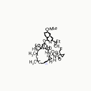 CCN(C)c1cc2cc(OC)ccc2c(O[C@@H]2C[C@H]3C(=O)N[C@]4(C(=O)NS(=O)(=O)C5(CF)CC5)C[C@H]4/C=C\CC[C@H](C)C[C@@H](C)[C@H](NC(=O)O)C(=O)N3C2)n1